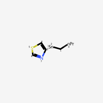 CCC[CH2][Sn].c1cscn1